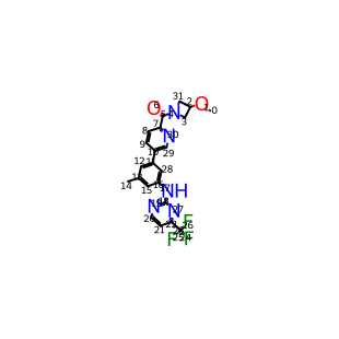 COC1CN(C(=O)c2ccc(-c3cc(C)cc(Nc4nccc(C(F)(F)F)n4)c3)cn2)C1